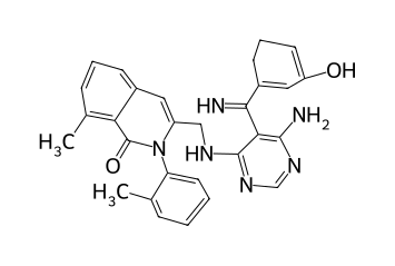 Cc1ccccc1-n1c(CNc2ncnc(N)c2C(=N)C2=CC(O)=CCC2)cc2cccc(C)c2c1=O